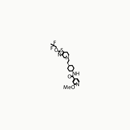 COc1cc(C(=O)N[C@H]2CC[C@H](CCN3CCc4sc(OCC(C)(F)F)nc4C3)CC2)ccn1